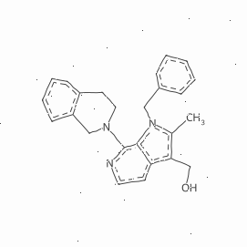 Cc1c(CO)c2c[c]nc(N3CCc4ccccc4C3)c2n1Cc1ccccc1